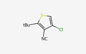 [C-]#[N+]c1c(Cl)csc1C(C)(C)C